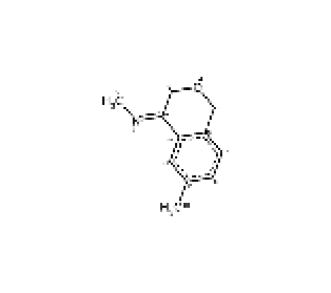 C/N=C1\COCc2ccc(C)cc21